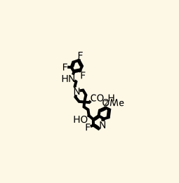 COc1ccc2ncc(F)c([C@@H](O)CCC3(CC(=O)O)CCN(CCNc4c(F)cc(F)cc4F)CC3)c2c1